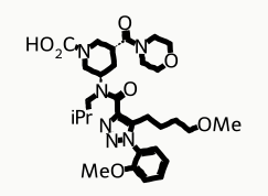 COCCCCc1c(C(=O)N(CC(C)C)[C@H]2C[C@@H](C(=O)N3CCOCC3)CN(C(=O)O)C2)nnn1-c1ccccc1OC